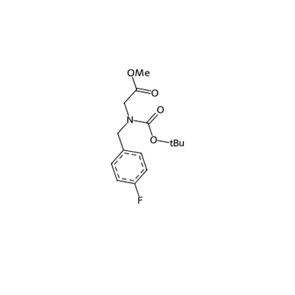 COC(=O)CN(Cc1ccc(F)cc1)C(=O)OC(C)(C)C